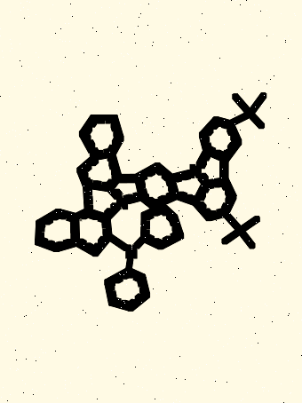 CC(C)(C)c1ccc2c(c1)c1cc(C(C)(C)C)cc3c4cc5c(cc4n2c13)c1c2ccccc2cc2c3c4ccccc4cc(N(c4ccccc4)c4ccccc4)c3n5c21